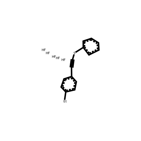 CCc1ccc(C#CSc2ccccc2)cc1.F.F.F.F.F